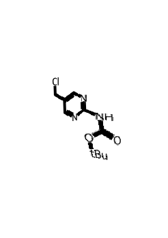 CC(C)(C)OC(=O)Nc1ncc(CCl)cn1